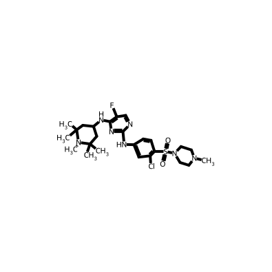 CN1CCN(S(=O)(=O)c2ccc(Nc3ncc(F)c(NC4CC(C)(C)N(C)C(C)(C)C4)n3)cc2Cl)CC1